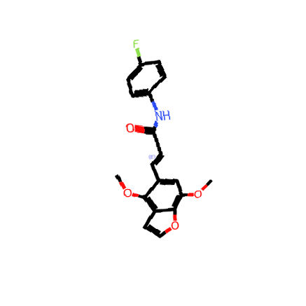 COc1c(/C=C/C(=O)Nc2ccc(F)cc2)cc(OC)c2occc12